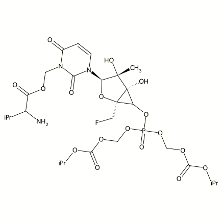 CC(C)OC(=O)OCOP(=O)(OCOC(=O)OC(C)C)OC1[C@]2(O)[C@@](C)(O)[C@H](n3ccc(=O)n(COC(=O)C(N)C(C)C)c3=O)O[C@]12CF